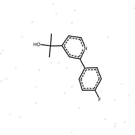 CC(C)(O)c1ccnc(-c2ccc(F)cc2)c1